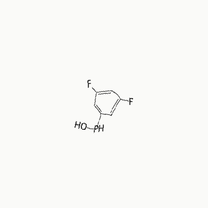 OPc1cc(F)cc(F)c1